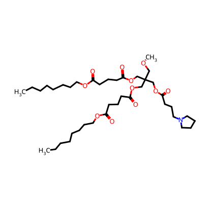 CCCCCCCCOC(=O)CCCC(=O)OCC(COC)(COC(=O)CCCC(=O)OCCCCCCCC)COC(=O)CCCN1CCCC1